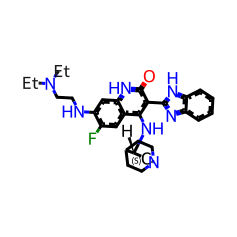 CCN(CC)CCNc1cc2[nH]c(=O)c(-c3nc4ccccc4[nH]3)c(N[C@@H]3CN4CCC3CC4)c2cc1F